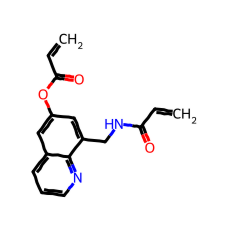 C=CC(=O)NCc1cc(OC(=O)C=C)cc2cccnc12